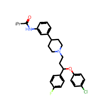 CC(C)C(=O)Nc1cccc(C2CCN(CCC(Oc3ccc(Cl)cc3)c3ccc(F)cc3)CC2)c1